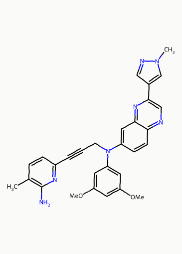 COc1cc(OC)cc(N(CC#Cc2ccc(C)c(N)n2)c2ccc3ncc(-c4cnn(C)c4)nc3c2)c1